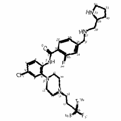 O=C(Nc1ccc(Cl)cc1N1CCN(CCC(F)(F)F)CC1)c1ccc(CNCC2CCCN2)cc1F